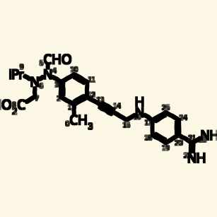 Cc1cc(N(C=O)N(CC(=O)O)C(C)C)ccc1C#CCNc1ccc(C(=N)N)cc1